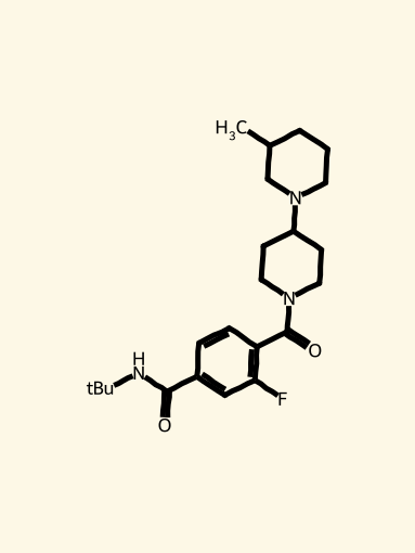 CC1CCCN(C2CCN(C(=O)c3ccc(C(=O)NC(C)(C)C)cc3F)CC2)C1